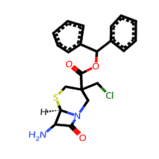 NC1C(=O)N2CC(CCl)(C(=O)OC(c3ccccc3)c3ccccc3)CS[C@H]12